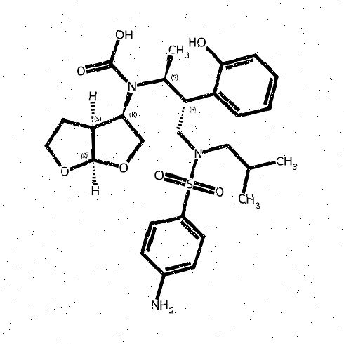 CC(C)CN(C[C@@H](c1ccccc1O)[C@H](C)N(C(=O)O)[C@H]1CO[C@H]2OCC[C@H]21)S(=O)(=O)c1ccc(N)cc1